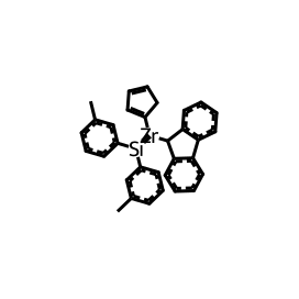 Cc1cccc([Si](c2cccc(C)c2)=[Zr]([C]2=CC=CC2)[CH]2c3ccccc3-c3ccccc32)c1